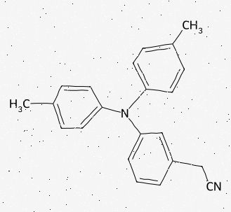 Cc1ccc(N(c2ccc(C)cc2)c2cccc(CC#N)c2)cc1